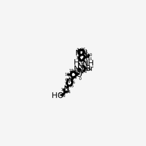 COc1cc(N2CCC(N3CC(CO)C3)CC2)c(C)cc1Nc1ncc(Br)c(Nc2ccc3nccnc3c2P(C)C)n1